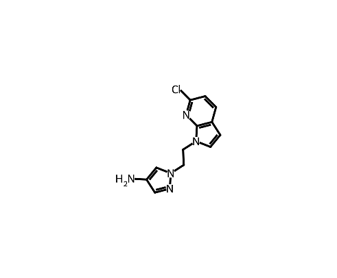 Nc1cnn(CCn2ccc3ccc(Cl)nc32)c1